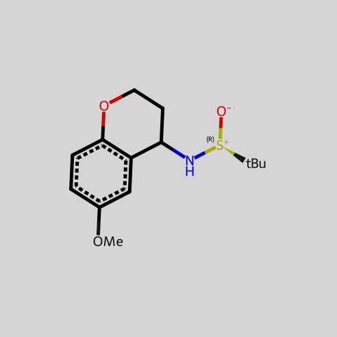 COc1ccc2c(c1)C(N[S@@+]([O-])C(C)(C)C)CCO2